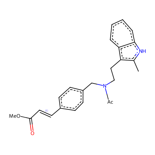 COC(=O)/C=C/c1ccc(CN(CCc2c(C)[nH]c3ccccc23)C(C)=O)cc1